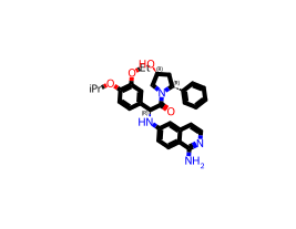 CCOc1cc([C@@H](Nc2ccc3c(N)nccc3c2)C(=O)N2C[C@H](O)C[C@@H]2c2ccccc2)ccc1OC(C)C